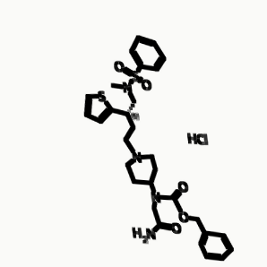 CN(C[C@H](CCN1CCC(N(CC(N)=O)C(=O)OCc2ccccc2)CC1)c1cccs1)S(=O)(=O)c1ccccc1.Cl